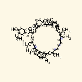 CO[C@H]1C[C@@H]2CC[C@@H](C)[C@@](O)(O2)C(=O)C(=O)N2CCCC[C@H]2C(=O)O[C@H]([C@H](C)C[C@H]2CC[C@@H](O)[C@H](OC)C2)CC[C@H](C)/C=C(\C)[C@@H](O)[C@@H](OC)C(=O)[C@H](C)C[C@H](C)/C=C/C=C/C=C/1C